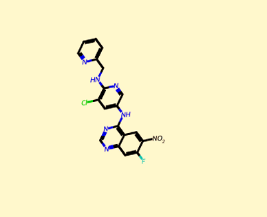 O=[N+]([O-])c1cc2c(Nc3cnc(NCc4ccccn4)c(Cl)c3)ncnc2cc1F